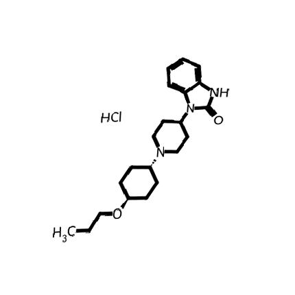 CCCO[C@H]1CC[C@H](N2CCC(n3c(=O)[nH]c4ccccc43)CC2)CC1.Cl